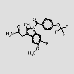 COc1cc2c(CC(N)=O)c(C)n(C(=O)c3ccc(OC(F)(F)F)cc3)c2cc1F